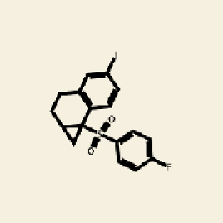 O=S(=O)(c1ccc(F)cc1)C12CC1CCc1cc(I)ccc12